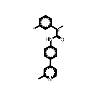 Cc1cc(-c2ccc(NC(=O)[C@H](C)c3cccc(F)c3)cc2)ccn1